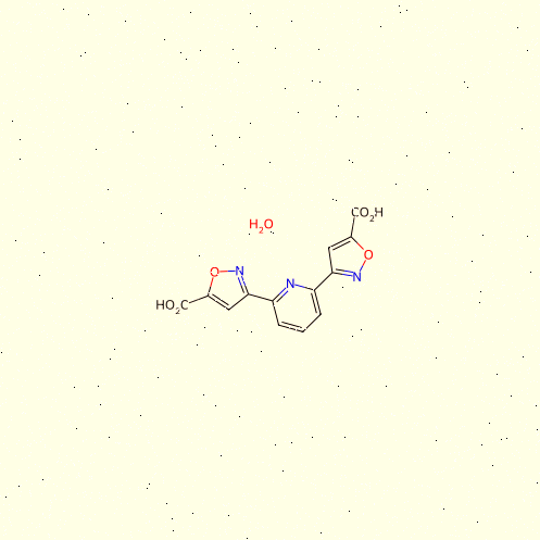 O.O=C(O)c1cc(-c2cccc(-c3cc(C(=O)O)on3)n2)no1